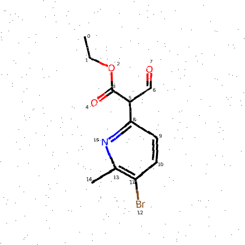 CCOC(=O)C(C=O)c1ccc(Br)c(C)n1